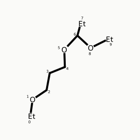 CCOCCCOC(CC)OCC